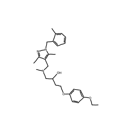 CCOc1ccc(OCCC(O)CN(C)Cc2c(C)nn(Cc3ccccc3C)c2C)cc1